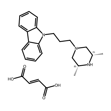 C[C@@H]1CN(CCCn2c3ccccc3c3ccccc32)C[C@H](C)N1.O=C(O)C=CC(=O)O